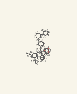 CC(C)(C)c1cc(-c2nc(-c3cccc(Oc4cc(-c5ccccc5)ccn4)c3)c(-c3ccccc3)n2-c2ccccc2-c2ccccc2)c(O)c(C(C)(C)C)c1